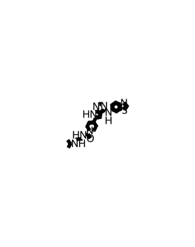 CC(C)NCCNC(=O)N1CC=C(c2cc3c(Nc4ccc5ncsc5c4)ncnc3[nH]2)CC1